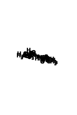 CC(C)(C)OC(=O)N[C@@H](C(=O)N1CCC[C@H]1C(=O)NC1CCC(c2ccc(-c3cnc([C@@H]4COCCN4C(=O)[C@H](NC(=O)OC(C)(C)C)c4ccccc4)[nH]3)cc2)CC1)c1ccccc1